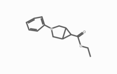 CCOC(=O)C1C2CN(c3ccccc3)CC21